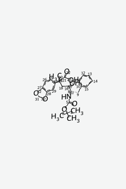 CC(C)(C)OC(=O)N[C@@H](Cc1ccccc1)[C@@H](O)C[C@@](C)(C(=O)O)c1ccc2c(c1)OCO2